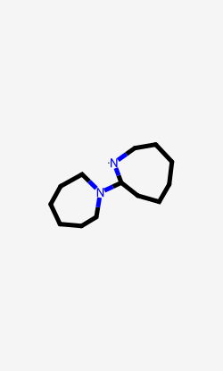 C1CCCC(N2CCCCCC2)[N]CC1